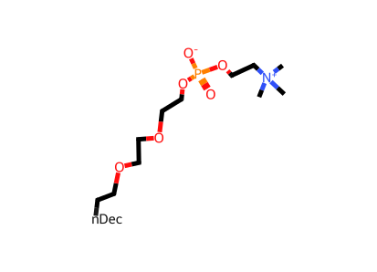 CCCCCCCCCCCCOCCOCCOP(=O)([O-])OCC[N+](C)(C)C